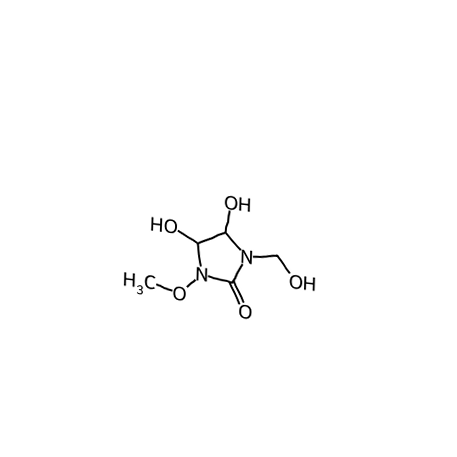 CON1C(=O)N(CO)C(O)C1O